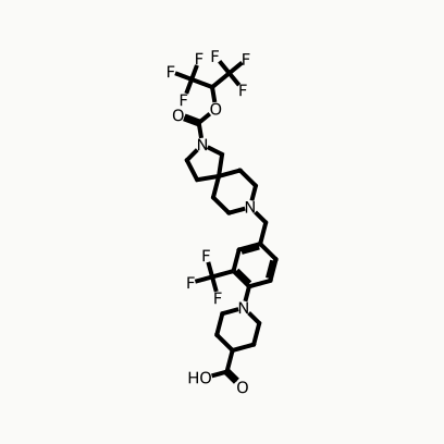 O=C(O)C1CCN(c2ccc(CN3CCC4(CC3)CCN(C(=O)OC(C(F)(F)F)C(F)(F)F)C4)cc2C(F)(F)F)CC1